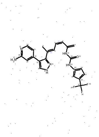 C=C(/C=C\C=C(/C)c1n[nH]cc1-c1ccnc(N)c1)NC(=O)NI1=CC=C(C(F)(F)F)C=1